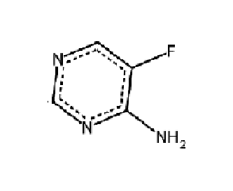 Nc1n[c]ncc1F